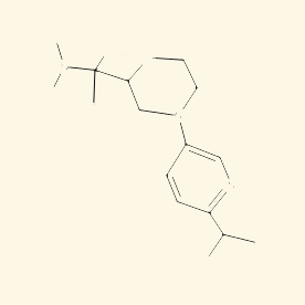 CC(S)c1ccc(N2CCOC(C(C)(C)N(C)C)C2)cn1